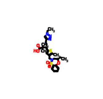 CC[C@@H]1CN(Cc2cc([C@@H](CCc3cn(CC)nn3)C(C)(C)C(=O)O)sc2C)S(=O)(=O)c2ccccc2O1